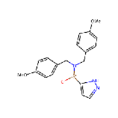 COc1ccc(CN(Cc2ccc(OC)cc2)[S+]([O-])c2ccn[nH]2)cc1